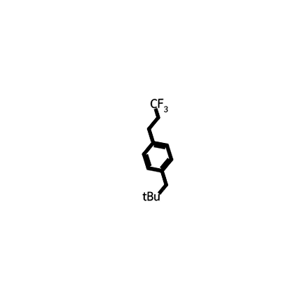 CC(C)(C)Cc1ccc(CCC(F)(F)F)cc1